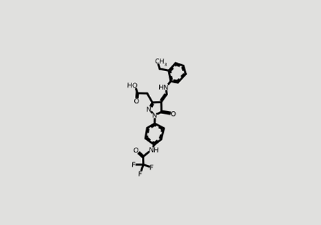 CCc1ccccc1NC=C1C(=O)N(c2ccc(NC(=O)C(F)(F)F)cc2)N=C1CC(=O)O